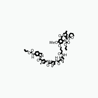 C=CCOC(=O)Nc1ccc2cnn(C(=O)c3cc(NC(=O)c4cc(NC(=O)c5nc(NC(=O)CCCOc6cc7c(cc6OC)C(=O)N6CC(=C)C[C@H]6[C@H](OC6CCCCO6)N7C(=O)OCC=C)cn5C)cn4C)cn3C)c2c1